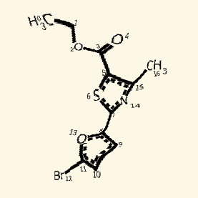 CCOC(=O)c1sc(-c2ccc(Br)o2)nc1C